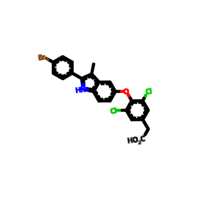 Cc1c(-c2ccc(Br)cc2)[nH]c2ccc(Oc3c(Cl)cc(CC(=O)O)cc3Cl)cc12